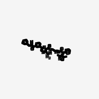 Cc1noc(C)c1N(C(=O)NCCCNC(=O)c1nc(-c2cccc(C(=O)NCc3ccccc3)c2)cnc1N)c1ccccc1